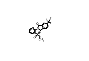 CCS(=O)(=O)c1cccnc1N1Cc2ccc(C(F)(F)F)cc2C1=O